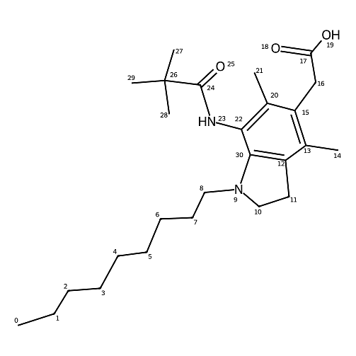 CCCCCCCCCN1CCc2c(C)c(CC(=O)O)c(C)c(NC(=O)C(C)(C)C)c21